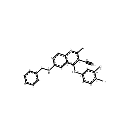 Cc1nc2ccc(NCc3cccnc3)cc2c(Nc2ccc(F)c(Cl)c2)c1C#N